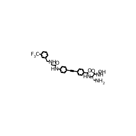 NC[C@H](NC(=O)c1ccc(C#Cc2ccc(NC(=O)CNCc3cccc(C(F)(F)F)c3)cc2)cc1)C(=O)NO